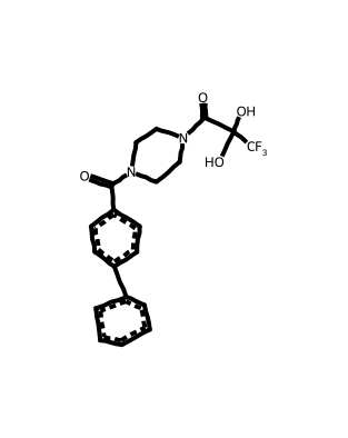 O=C(c1ccc(-c2ccccc2)cc1)N1CCN(C(=O)C(O)(O)C(F)(F)F)CC1